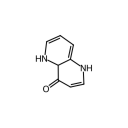 O=C1C=CNC2=CC=CNC12